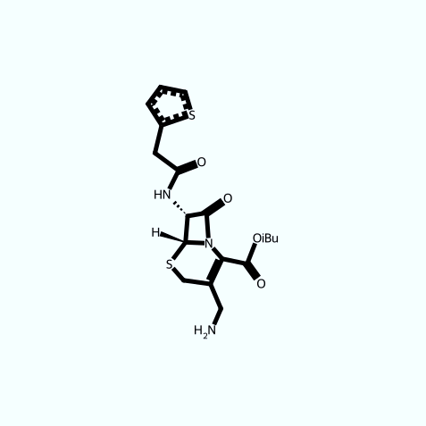 CC(C)COC(=O)C1=C(CN)CS[C@@H]2[C@H](NC(=O)Cc3cccs3)C(=O)N12